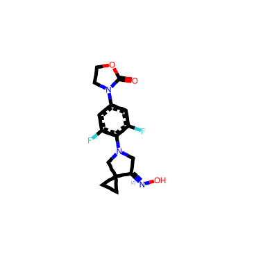 O=C1OCCN1c1cc(F)c(N2C/C(=N\O)C3(CC3)C2)c(F)c1